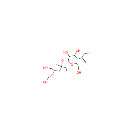 CC[C@@H](C)[C@@H]1C(CO)O[C@H](OC(C)(CC)CC(CO)OCO)[C@@H](O)C1O